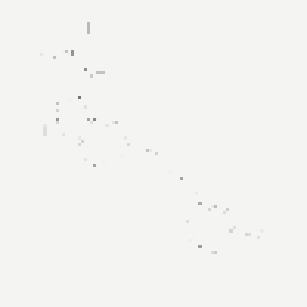 CC(=O)Nc1c[nH]c2ccc(COCc3ccc(Cl)c(Cl)c3)cc12